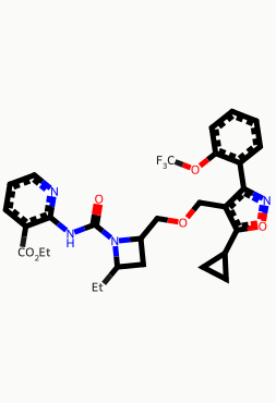 CCOC(=O)c1cccnc1NC(=O)N1C(CC)CC1COCc1c(-c2ccccc2OC(F)(F)F)noc1C1CC1